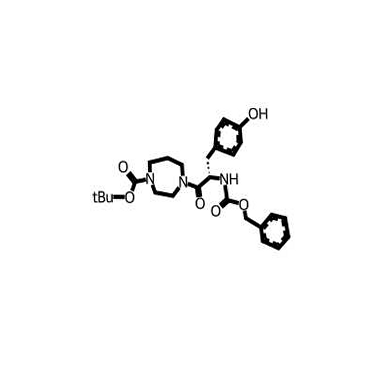 CC(C)(C)OC(=O)N1CCCN(C(=O)[C@H](Cc2ccc(O)cc2)NC(=O)OCc2ccccc2)CC1